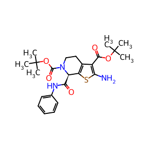 CC(C)(C)OC(=O)c1c(N)sc2c1CCN(C(=O)OC(C)(C)C)[C@@H]2C(=O)Nc1ccccc1